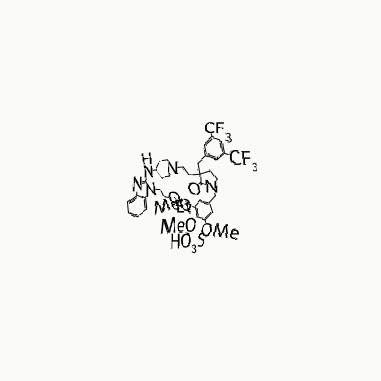 CCOCCn1c(NC2CCN(CCC3(Cc4cc(C(F)(F)F)cc(C(F)(F)F)c4)CCN(Cc4cc(OC)c(OC)c(OC)c4)C3=O)CC2)nc2ccccc21.CS(=O)(=O)O